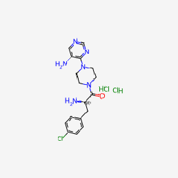 Cl.Cl.Nc1cncnc1N1CCN(C(=O)[C@H](N)Cc2ccc(Cl)cc2)CC1